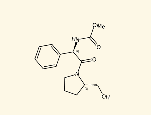 COC(=O)N[C@@H](C(=O)N1CCC[C@H]1CO)c1ccccc1